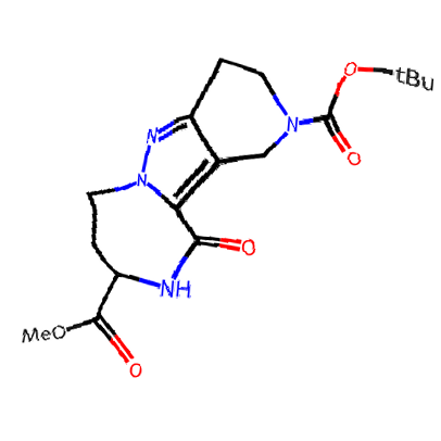 COC(=O)C1CCn2nc3c(c2C(=O)N1)CN(C(=O)OC(C)(C)C)CC3